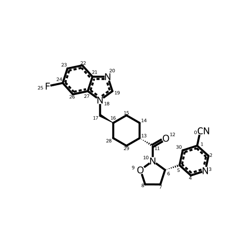 N#Cc1cncc([C@@H]2CCON2C(=O)[C@H]2CC[C@H](Cn3cnc4ccc(F)cc43)CC2)c1